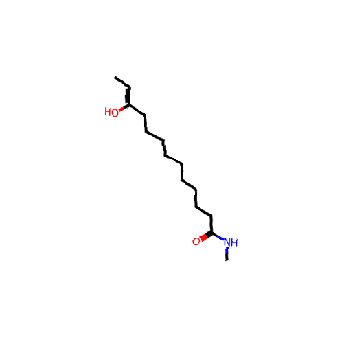 C/C=C(\O)CCCCCCCCCC(=O)NC